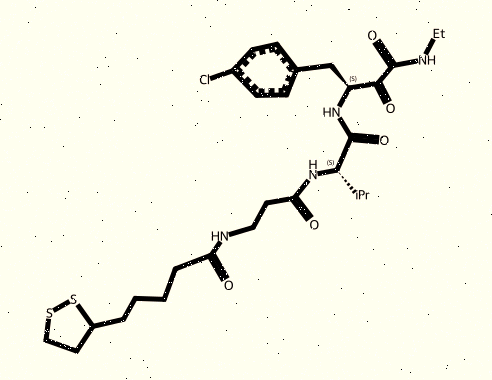 CCNC(=O)C(=O)[C@H](Cc1ccc(Cl)cc1)NC(=O)[C@@H](NC(=O)CCNC(=O)CCCCC1CCSS1)C(C)C